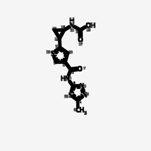 Cc1nnc(NC(=O)c2csc(C3CC3NC(=O)O)c2)s1